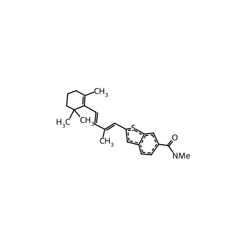 CNC(=O)c1ccc2cc(/C=C(\C)C=CC3=C(C)CCCC3(C)C)sc2c1